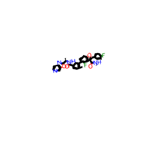 CNC(=O)c1c(-c2ccc(F)cc2)oc2ccc(-c3cc(C(=O)N[C@H](C)c4nc5ccncc5o4)ccc3C)c(F)c12